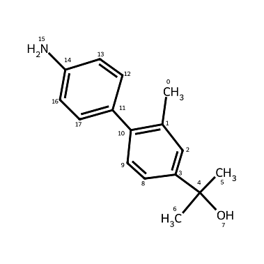 Cc1cc(C(C)(C)O)ccc1-c1ccc(N)cc1